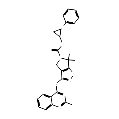 Cc1nc(Nc2n[nH]c3c2CN(C(=O)NC2C[C@H]2c2ccccc2)C3(C)C)c2ccccc2n1